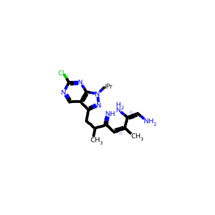 CC(=C/C(=N)C(C)Cc1nn(C(C)C)c2nc(Cl)ncc12)/C(N)=C\N